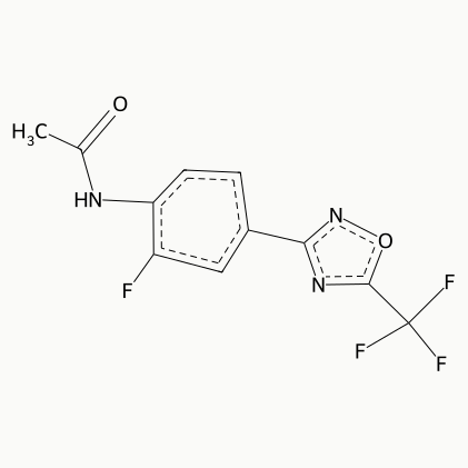 CC(=O)Nc1ccc(-c2noc(C(F)(F)F)n2)cc1F